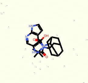 CC(C)(C)N(C(=O)O)C12CC3CC(C1)C(n1c(=O)[nH]c4cnc5[nH]ccc5c41)C(C3)C2